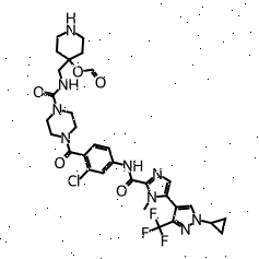 Cn1c(-c2cn(C3CC3)nc2C(F)(F)F)cnc1C(=O)Nc1ccc(C(=O)N2CCN(C(=O)NCC3(OC=O)CCNCC3)CC2)c(Cl)c1